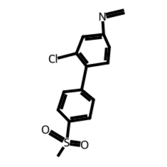 C=Nc1ccc(-c2ccc(S(C)(=O)=O)cc2)c(Cl)c1